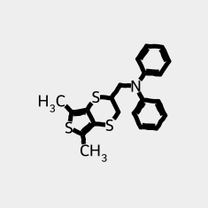 Cc1sc(C)c2c1SCC(CN(c1ccccc1)c1ccccc1)S2